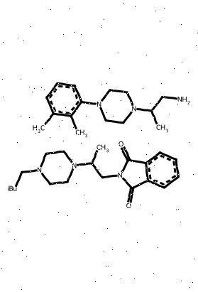 CCC(C)CN1CCN(C(C)CN2C(=O)c3ccccc3C2=O)CC1.Cc1cccc(N2CCN(C(C)CN)CC2)c1C